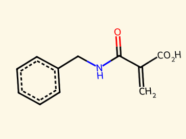 C=C(C(=O)O)C(=O)NCc1ccccc1